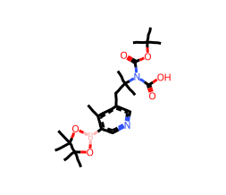 Cc1c(CC(C)(C)N(C(=O)O)C(=O)OC(C)(C)C)cncc1B1OC(C)(C)C(C)(C)O1